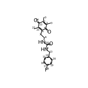 CC1=C(C)C(=O)C(CCNC(=O)NCc2ccc(F)cc2)=C(C)C1=O